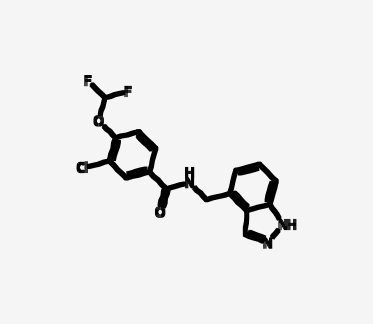 O=C(NCc1cccc2[nH]ncc12)c1ccc(OC(F)F)c(Cl)c1